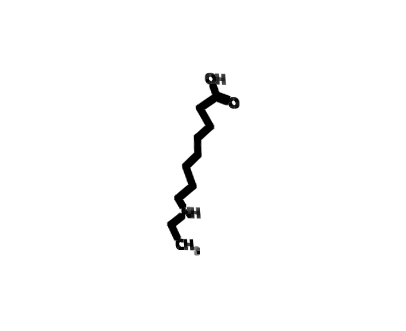 CCNCCCCCCCC(=O)O